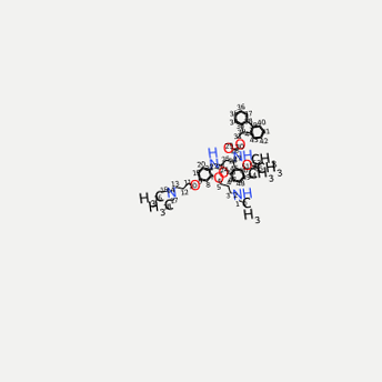 CCNCCCOc1cc(OCCCN(CC)CC)ccc1NC(=O)CC(NC(=O)OCC1c2ccccc2-c2ccccc21)c1ccccc1OC(C)(C)C